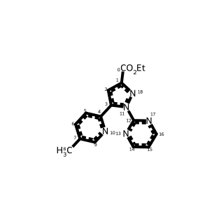 CCOC(=O)c1cc(-c2ccc(C)cn2)n(-c2ncccn2)n1